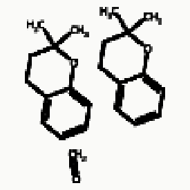 C=O.CC1(C)CCc2ccccc2O1.CC1(C)CCc2ccccc2O1